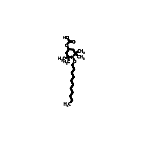 CCCCCCCCCCCON1C(C)(C)CC(OC(=O)O)CC1(C)C